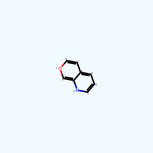 C1=C[N]C2=COC=CC2=C1